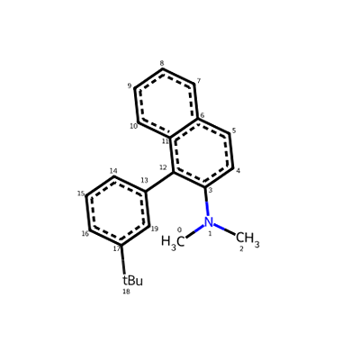 CN(C)c1ccc2ccccc2c1-c1cccc(C(C)(C)C)c1